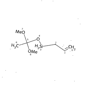 C=CC[SiH2]OC(C)(OC)OC